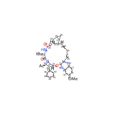 COc1ccc2nc3c(nc2c1)O[C@H]1CN(C(=O)[C@H](C(C)(C)C)NC(=O)O[C@@H]2CC4CC4[C@H]2CCCCC3)[C@H](C(C)=O)[C@@H]1c1ccccc1